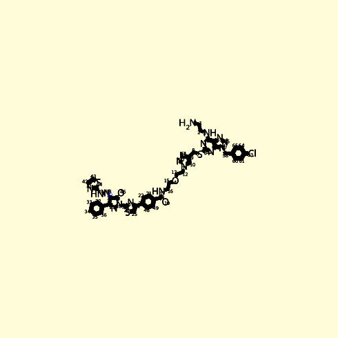 NCCNc1nc(SCc2cn(CCOCCNC(=O)c3ccc(-c4csc(N5N=C(c6ccccc6)/C(=N\Nc6nccs6)C5=O)n4)cc3)nn2)nc2c1nnn2Cc1ccc(Cl)cc1